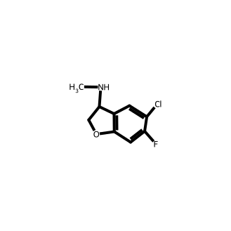 CNC1COc2cc(F)c(Cl)cc21